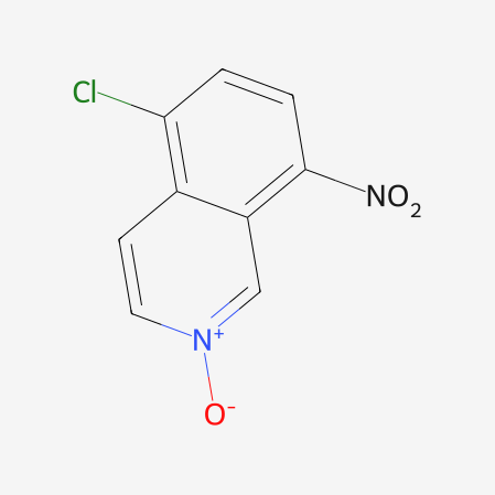 O=[N+]([O-])c1ccc(Cl)c2cc[n+]([O-])cc12